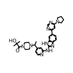 CC(c1ccnc(Nc2nc3ccc(-c4cc(N5CCCC5)ncn4)cc3[nH]2)c1)N1CCN(C(=O)C(C)(C)O)CC1